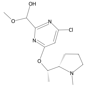 COC(O)c1nc(Cl)cc(O[C@@H](C)[C@@H]2CCCN2C)n1